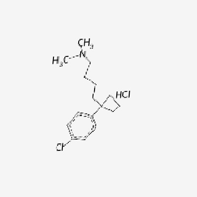 CN(C)CCCCC1(c2ccc(Cl)cc2)CCC1.Cl